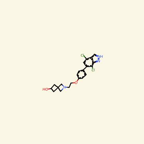 OC1CC2(C1)CN(CCOc1ccc(-c3cc(Cl)c4c[nH]nc4c3Cl)cc1)C2